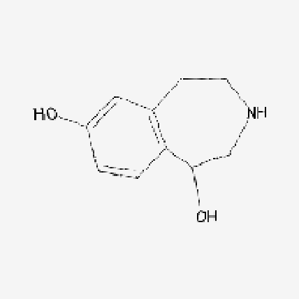 Oc1ccc2c(c1)CCNCC2O